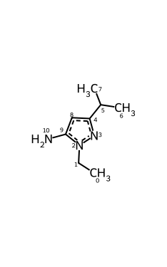 CCn1nc(C(C)C)cc1N